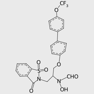 O=CN(O)C(COc1ccc(-c2ccc(OC(F)(F)F)cc2)cc1)CN1C(=O)c2ccccc2S1(=O)=O